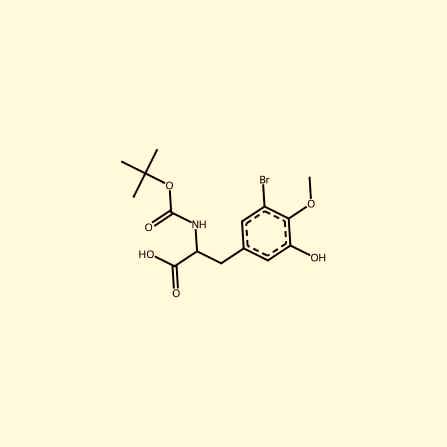 COc1c(O)cc(CC(NC(=O)OC(C)(C)C)C(=O)O)cc1Br